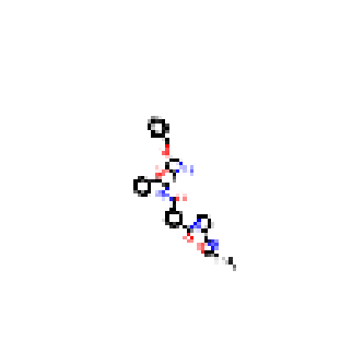 Cc1coc([C@H]2CCCN2C(=O)c2cccc(C(=O)N[C@@H](C[C@@H]3C[C@@H](OCc4ccccc4)CN3)C(O)c3ccccc3)c2)n1